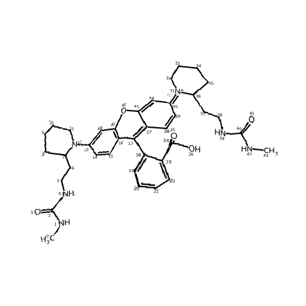 CNC(=O)NCCC1CCCCN1c1ccc2c(-c3ccccc3C(=O)O)c3cc/c(=[N+]4/CCCCC4CCNC(=O)NC)cc-3oc2c1